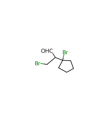 O=CC(CBr)C1(Br)CCCC1